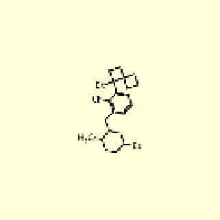 CCC1CCC(C)C(Cc2cccc(C3(CC)CCC34CCC4)c2Cl)C1